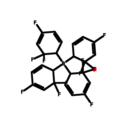 FC1=CC(F)(F)C([B-](C2C=CC(F)=CC2(F)F)(C2C=CC(F)=CC2(F)F)C2C=CC(F)=CC2(F)F)C=C1